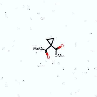 COC(=O)C1(C(=O)OC)[CH]C1